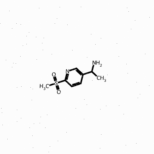 CC(N)c1ccc(S(C)(=O)=O)nc1